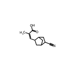 CC(=CC1CC2CC1CC2C#N)C(=O)O